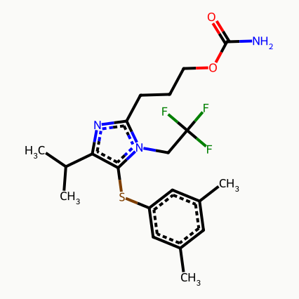 Cc1cc(C)cc(Sc2c(C(C)C)nc(CCCOC(N)=O)n2CC(F)(F)F)c1